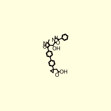 Cc1noc(-c2ccc(-c3ccc(C4(CC(=O)O)CC4)cc3)cc2)c1C(O)c1nnc(-c2ccccc2)o1